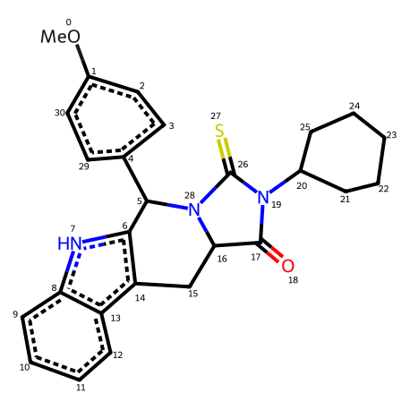 COc1ccc(C2c3[nH]c4ccccc4c3CC3C(=O)N(C4CCCCC4)C(=S)N32)cc1